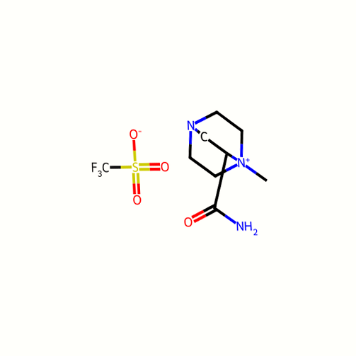 C[N+]12CCN(CC1)CC2C(N)=O.O=S(=O)([O-])C(F)(F)F